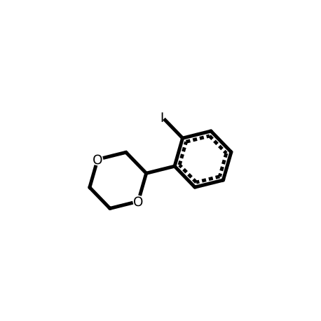 Ic1ccccc1C1COCCO1